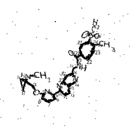 CNC1(COc2cccc(-c3ccc4cnc(CNC(=O)c5ccc(C)c(S(C)(=O)=O)c5)cc4n3)n2)CC1